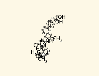 COc1cc2c(cc1Nc1ncc(Cl)c(Nc3ccccc3N(C)S(C)(=O)=O)n1)CCCC(N1CCN(C[C@@H](O)CO)CC1)C2